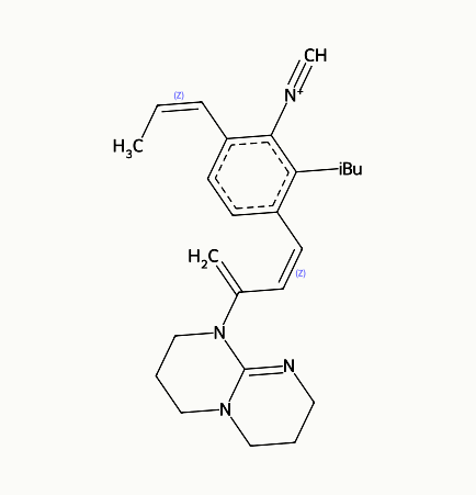 C#[N+]c1c(/C=C\C)ccc(/C=C\C(=C)N2CCCN3CCCN=C32)c1C(C)CC